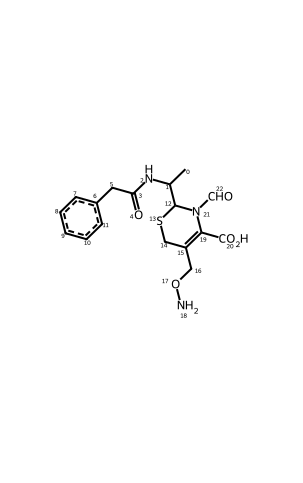 CC(NC(=O)Cc1ccccc1)C1SCC(CON)=C(C(=O)O)N1C=O